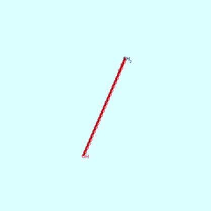 C=CCOCCOCCOCCOCCOCCCOCCCOCCCOCCCOCCCOCCCOCCCOCCCOCCCOCCCOCCCOCCCOCCCOCCCOCCCOCCCOCCCOCCCOCCCOCCCO